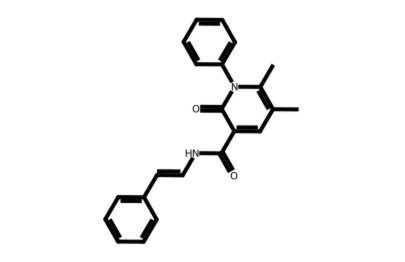 Cc1cc(C(=O)NC=Cc2ccccc2)c(=O)n(-c2ccccc2)c1C